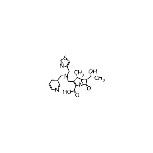 C[C@H]1C(CN(Cc2cccnc2)Cc2cscn2)=C(C(=O)O)N2C(=O)[C@H]([C@@H](C)O)C12